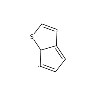 [C]1=CC=C2C=CSC12